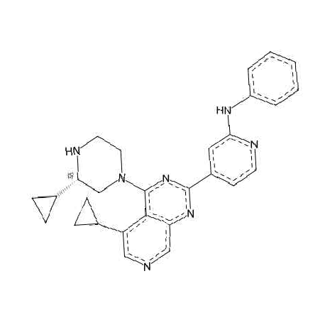 c1ccc(Nc2cc(-c3nc(N4CCN[C@@H](C5CC5)C4)c4c(C5CC5)cncc4n3)ccn2)cc1